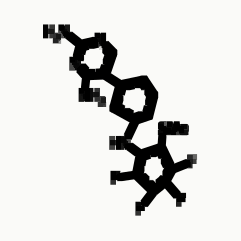 CSc1c(F)c(F)c(F)c(F)c1Nc1cccc(-c2cnc(N)nc2N)c1